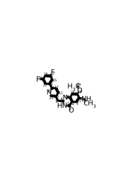 CNc1cc2c(=O)[nH]c(Cc3ccc(-c4cc(F)cc(F)c4)nc3)nc2cc1OC